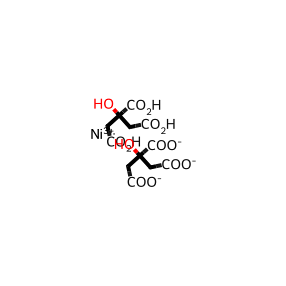 O=C(O)CC(O)(CC(=O)O)C(=O)O.O=C([O-])CC(O)(CC(=O)[O-])C(=O)[O-].[Ni+3]